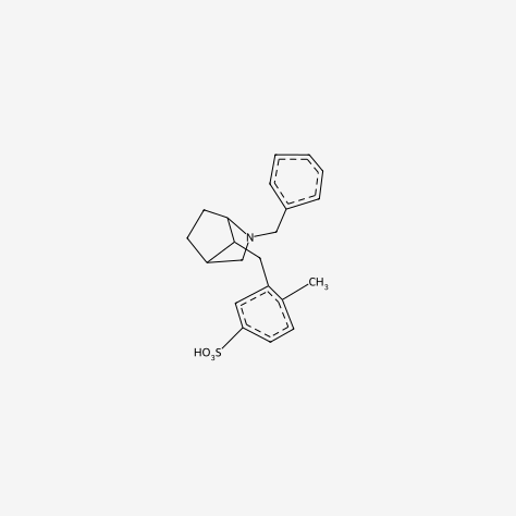 Cc1ccc(S(=O)(=O)O)cc1CC1C2CCC1N(Cc1ccccc1)C2